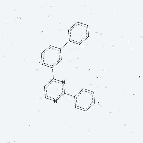 c1ccc(-c2cccc(-c3ccnc(-c4ccccc4)n3)c2)cc1